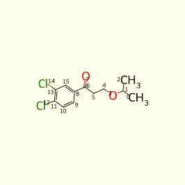 CC(C)OCCC(=O)c1ccc(Cl)c(Cl)c1